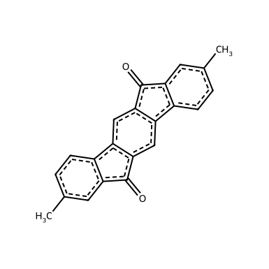 Cc1ccc2c(c1)c(=O)c1cc3c(cc12)c(=O)c1cc(C)ccc13